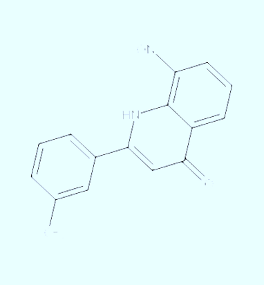 O=Nc1cccc2c(=O)cc(-c3cccc(C(F)(F)F)c3)[nH]c12